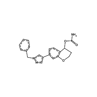 NC(=O)OC1CCOc2cc(-c3cnn(Cc4ccccc4)c3)ccc21